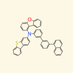 c1cc(-c2cccc(N(c3ccc4c(c3)sc3ccccc34)c3cccc4oc5ccccc5c34)c2)cc(-c2cccc3ccccc23)c1